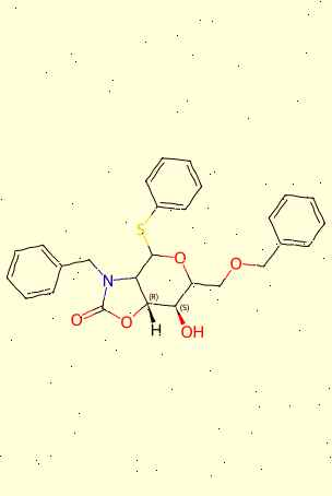 O=C1O[C@@H]2C(C(Sc3ccccc3)OC(COCc3ccccc3)[C@H]2O)N1Cc1ccccc1